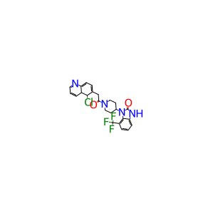 O=C(CC1=CC=C2N=CC=CC2C1Cl)N1CCC(n2c(=O)[nH]c3cccc(C(F)(F)F)c32)CC1